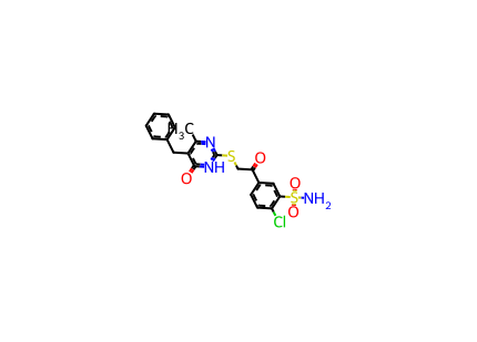 Cc1nc(SCC(=O)c2ccc(Cl)c(S(N)(=O)=O)c2)[nH]c(=O)c1Cc1ccccc1